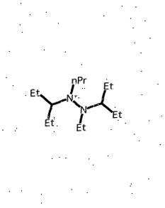 CCC[N+](C(CC)CC)N(CC)C(CC)CC